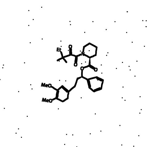 CCC(C)(C)C(=O)C(=O)N1CCCC[C@H]1C(=O)O[C@H](CCC1=CC(OC)=C(OC)CC1)c1ccccc1